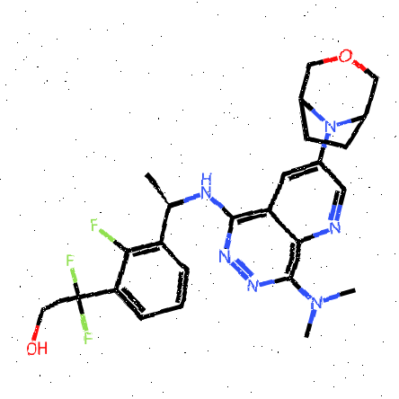 C[C@@H](Nc1nnc(N(C)C)c2ncc(N3C4CCC3COC4)cc12)c1cccc(C(F)(F)CO)c1F